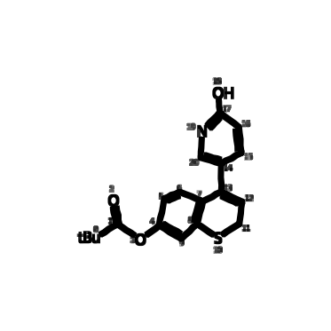 CC(C)(C)C(=O)Oc1ccc2c(c1)SCC=C2c1ccc(O)nc1